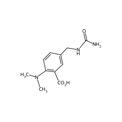 CN(C)c1ccc(CNC(N)=O)cc1C(=O)O